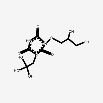 O=c1[nH]c(=O)n(OCC(O)CO)c(=O)n1CC(O)(O)O